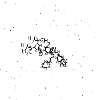 CC(C)CCN(CCC(C)C)C(=O)c1ccc2nc(Cc3ccc4c(c3)OCO4)n(CCCN3CCCCC3)c2c1